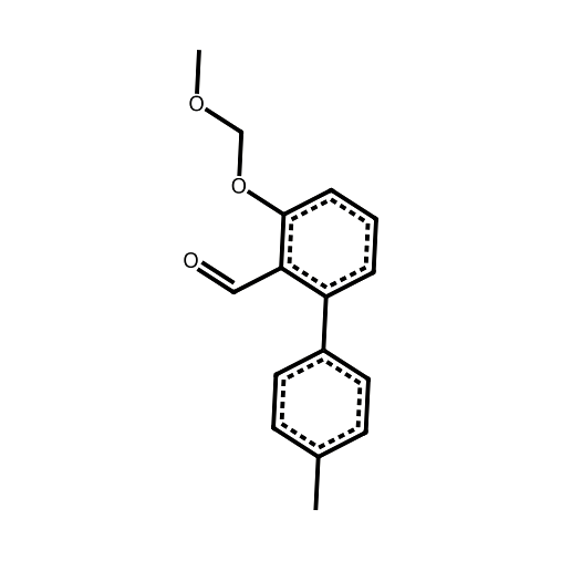 COCOc1cccc(-c2ccc(C)cc2)c1C=O